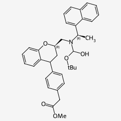 COC(=O)Cc1ccc(C2C[C@H](CN(C(O)OC(C)(C)C)[C@H](C)c3cccc4ccccc34)Oc3ccccc32)cc1